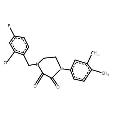 Cc1ccc(N2CCN(Cc3ccc(F)cc3Cl)C(=O)C2=O)cc1C